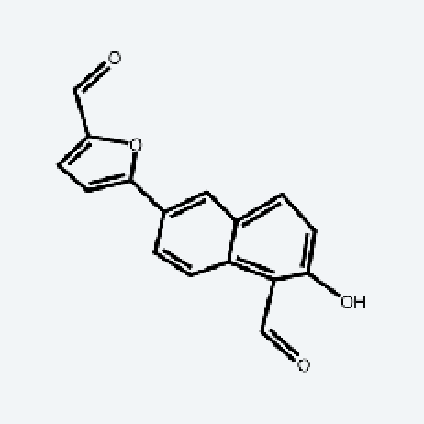 O=Cc1ccc(-c2ccc3c(C=O)c(O)ccc3c2)o1